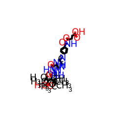 CC(C)(C)C(C(=O)O)C(C(=O)Nc1nc2ncc(CNc3ccc(C(=O)NC(=O)CCC(=O)O)cc3)nc2c(=O)[nH]1)C(C)(C)C(C)(C)C